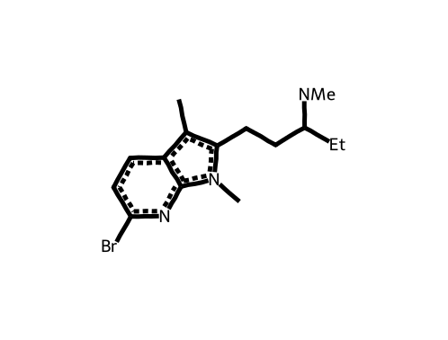 CCC(CCc1c(C)c2ccc(Br)nc2n1C)NC